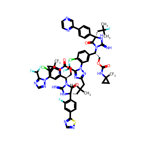 CC(C)(F)C[C@]1(c2ccc(-c3cnccn3)cc2)NC(=N)N([C@H](COC(=O)NC2(C(F)(F)F)CC2)c2ccc(Cl)c(-n3nc(CC(C)(C)C[C@]4(c5ccc(-c6ncns6)cc5F)NC(=N)N([C@H](COC(=O)NC5(C(F)(F)F)CC5)c5ccc(Cl)c(-n6ncnc6C(F)F)c5)C4=O)nc3C(F)F)c2)C1=O